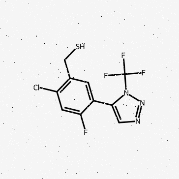 Fc1cc(Cl)c(CS)cc1-c1cnnn1C(F)(F)F